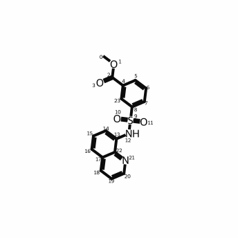 COC(=O)c1cccc(S(=O)(=O)Nc2cccc3cccnc23)c1